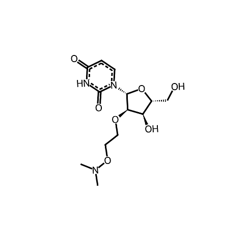 CN(C)OCCO[C@@H]1[C@H](O)[C@@H](CO)O[C@H]1n1ccc(=O)[nH]c1=O